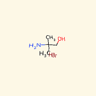 Br.CC(C)(N)CO